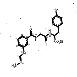 CCOC(=O)C(Cc1ccc(Br)cc1)NC(=O)CNC(=O)c1cccc(NC=NN)c1